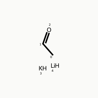 CC=O.[KH].[LiH]